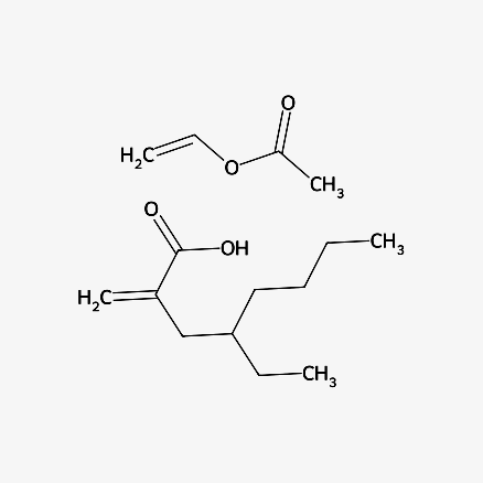 C=C(CC(CC)CCCC)C(=O)O.C=COC(C)=O